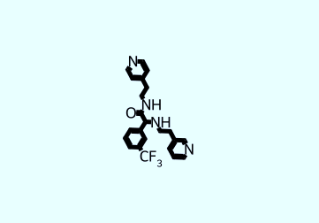 O=C(NCCc1ccncc1)C(NCCc1cccnc1)c1cccc(C(F)(F)F)c1